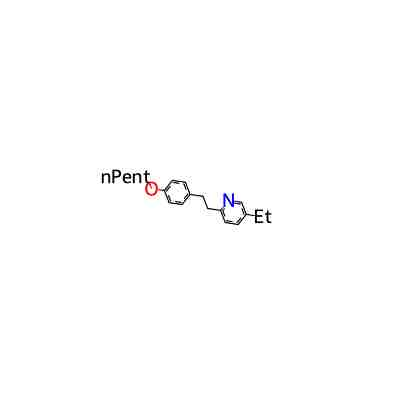 CCCCCOc1ccc(CCc2ccc(CC)cn2)cc1